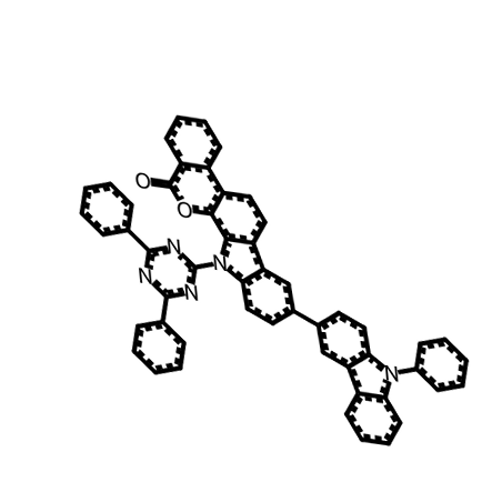 O=c1oc2c(ccc3c4cc(-c5ccc6c(c5)c5ccccc5n6-c5ccccc5)ccc4n(-c4nc(-c5ccccc5)nc(-c5ccccc5)n4)c32)c2ccccc12